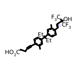 CCC(CC)(c1ccc(C#CCCC(=O)O)c(C)c1)c1ccc(/C=C/C(O)(C(F)(F)F)C(F)(F)F)c(C)c1